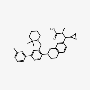 Cc1cc(-c2ccc(C3CCc4ccc([C@H](C5CC5)[C@H](C)C(=O)O)cc4O3)c(CN3CCCCC3(C)C)c2)ccn1